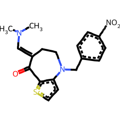 CN(C)C=C1CCN(Cc2ccc([N+](=O)[O-])cc2)c2ccsc2C1=O